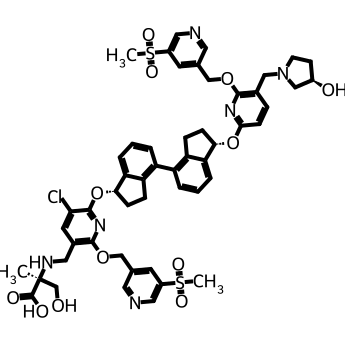 C[C@@](CO)(NCc1cc(Cl)c(O[C@H]2CCc3c(-c4cccc5c4CC[C@@H]5Oc4ccc(CN5CC[C@@H](O)C5)c(OCc5cncc(S(C)(=O)=O)c5)n4)cccc32)nc1OCc1cncc(S(C)(=O)=O)c1)C(=O)O